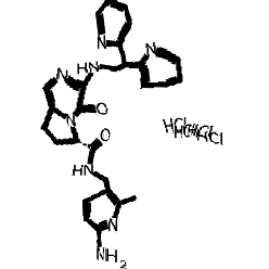 Cc1nc(N)ccc1CNC(=O)[C@@H]1CCc2cnc(NCC(c3ccccn3)c3ccccn3)c(=O)n21.Cl.Cl.Cl.Cl